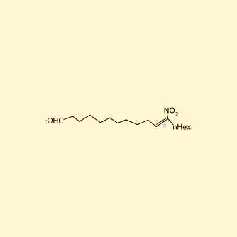 CCCCCC/C(=C/CCCCCCCCC[C]=O)[N+](=O)[O-]